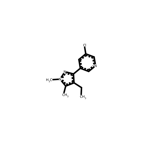 CCc1c(-c2cncc(Cl)c2)nn(C)c1C